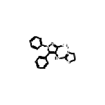 Cc1nn(-c2ccccc2)c(-c2ccccc2)c1NC1=NCCO1